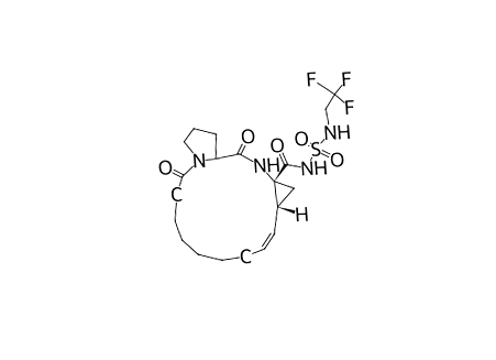 O=C1N[C@]2(C(=O)NS(=O)(=O)NCC(F)(F)F)C[C@@H]2/C=C\CCCCCCC(=O)N2CCCC12